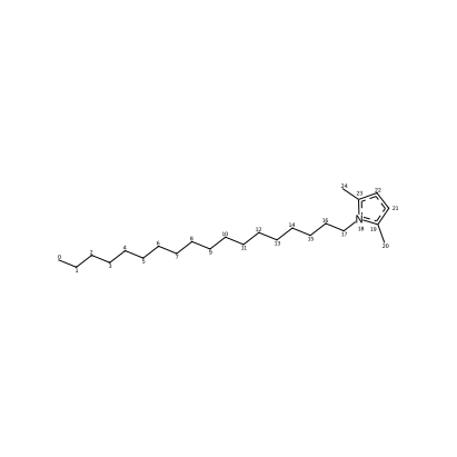 CCCCCCCCCCCCCCCCCCn1c(C)ccc1C